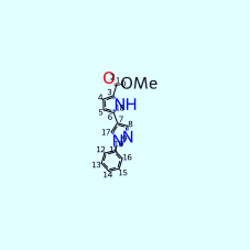 COC(=O)c1ccc(-c2cnn(-c3ccccc3)c2)[nH]1